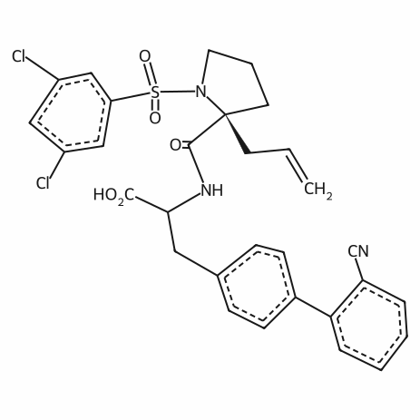 C=CC[C@]1(C(=O)NC(Cc2ccc(-c3ccccc3C#N)cc2)C(=O)O)CCCN1S(=O)(=O)c1cc(Cl)cc(Cl)c1